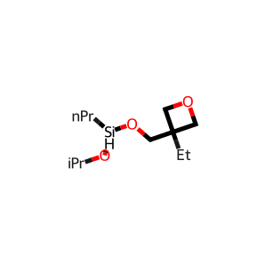 CCC[SiH](OCC1(CC)COC1)OC(C)C